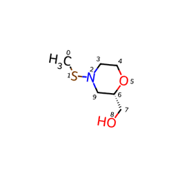 CSN1CCO[C@H](CO)C1